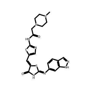 CN1CCN(CC(=O)Nc2ncc(C=C3SC(=Nc4ccc5cn[nH]c5c4)NC3=O)s2)CC1